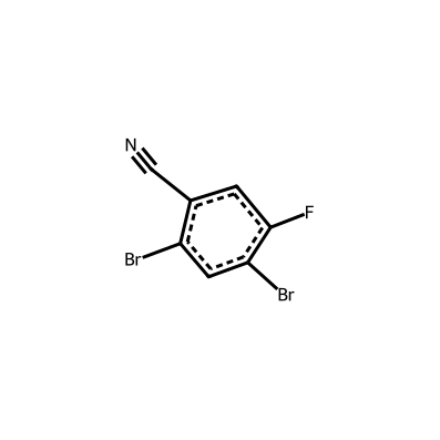 N#Cc1cc(F)c(Br)cc1Br